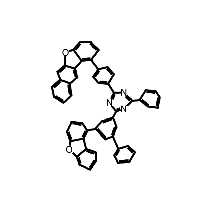 c1ccc(-c2cc(-c3nc(-c4ccccc4)nc(-c4ccc(-c5cccc6oc7cc8ccccc8cc7c56)cc4)n3)cc(-c3cccc4oc5ccccc5c34)c2)cc1